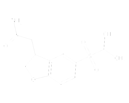 CC(C)S(=O)(=O)c1ccc2c(c1)C(CC(N)=O)CO2